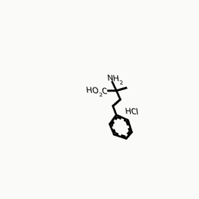 CC(N)(CCc1ccccc1)C(=O)O.Cl